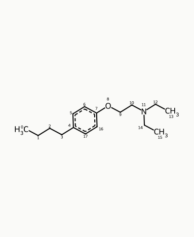 CCCCc1ccc(OCCN(CC)CC)cc1